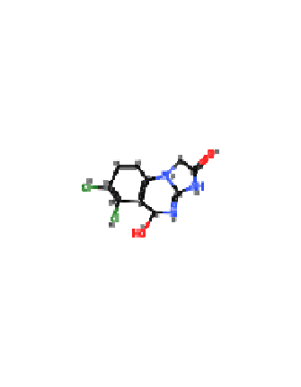 O=C1CN2C(=NC(O)c3c2ccc(Cl)c3Cl)N1